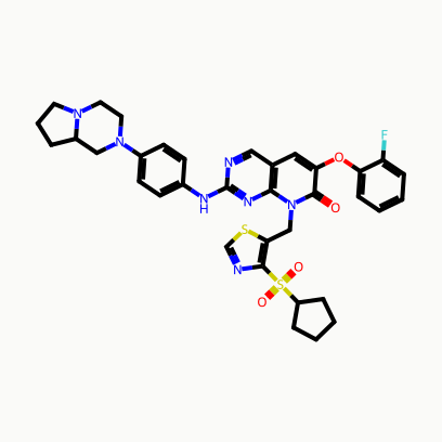 O=c1c(Oc2ccccc2F)cc2cnc(Nc3ccc(N4CCN5CCCC5C4)cc3)nc2n1Cc1scnc1S(=O)(=O)C1CCCC1